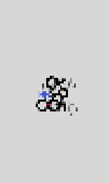 CC(C)(C)C1=CCC(C(C)(C)C)=C1[Si](NC1CCCCC1)(c1ccccc1)c1ccccc1